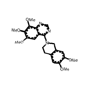 COc1cc2c(cc1OC)CN(c1ncnc3c(OC)c(OC)c(OC)cc13)CC2